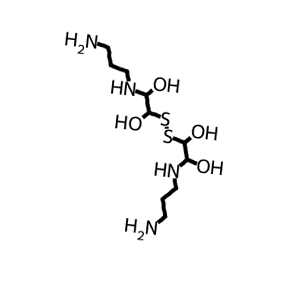 NCCCNC(O)C(O)SSC(O)C(O)NCCCN